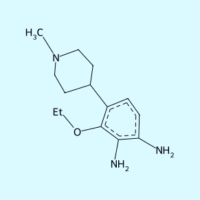 CCOc1c(C2CCN(C)CC2)ccc(N)c1N